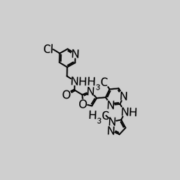 Cc1cnc(Nc2ccnn2C)nc1-c1coc(C(=O)NCc2cncc(Cl)c2)n1